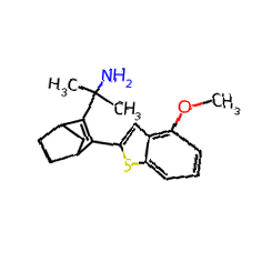 COc1cccc2sc(C3=C(C(C)(C)N)C4CCC3C4)cc12